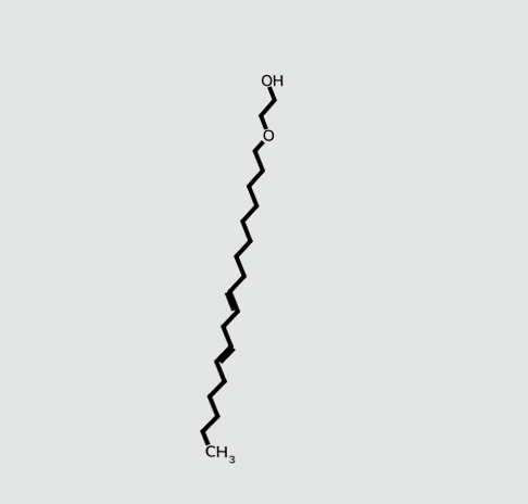 CCCCCC=CCC=CCCCCCCCCOCCO